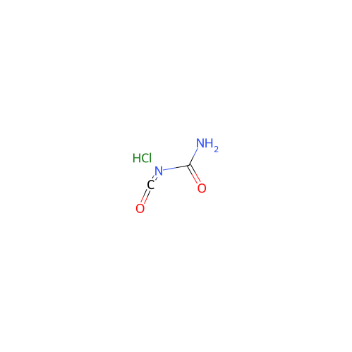 Cl.NC(=O)N=C=O